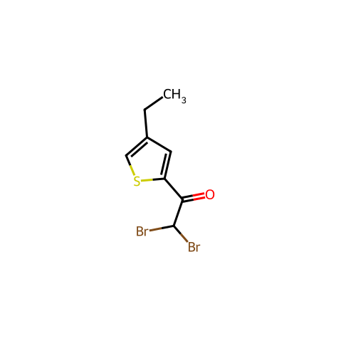 CCc1csc(C(=O)C(Br)Br)c1